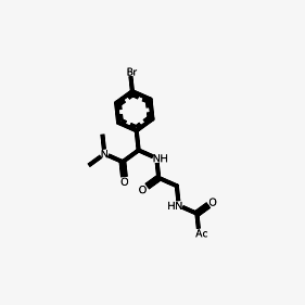 CC(=O)C(=O)NCC(=O)NC(C(=O)N(C)C)c1ccc(Br)cc1